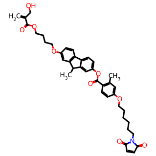 C=C(CO)C(=O)OCCCCOc1ccc2c(c1)C(C)c1cc(OC(=O)c3ccc(OCCCCCCN4C(=O)C=CC4=O)cc3C)ccc1-2